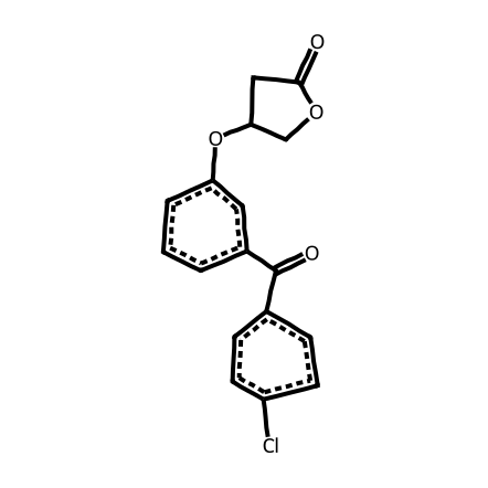 O=C1CC(Oc2cccc(C(=O)c3ccc(Cl)cc3)c2)CO1